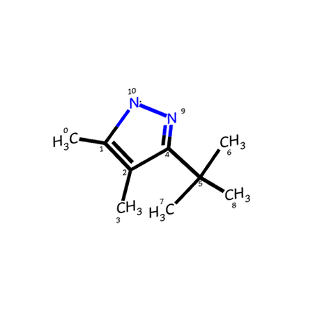 CC1=C(C)C(C(C)(C)C)=N[N]1